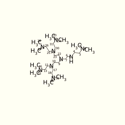 CN(C)CCNCCN(CCN(CCN(C)C)CCN(C)C)CCN(CCN(C)C)CCN(C)C